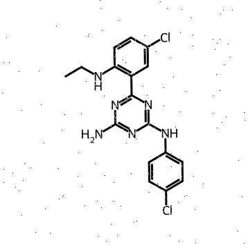 CCNc1ccc(Cl)cc1-c1nc(N)nc(Nc2ccc(Cl)cc2)n1